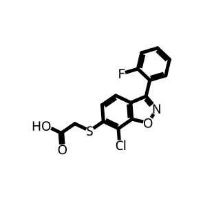 O=C(O)CSc1ccc2c(-c3ccccc3F)noc2c1Cl